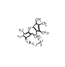 CC1=C(C)C(C)[C]([Fe+][C]2=C(C)C(C)=C(C)C2C)=C1C.F[B-](F)(F)F